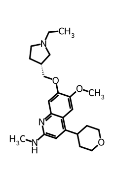 CCN1CC[C@@H](COc2cc3nc(NC)cc(C4CCOCC4)c3cc2OC)C1